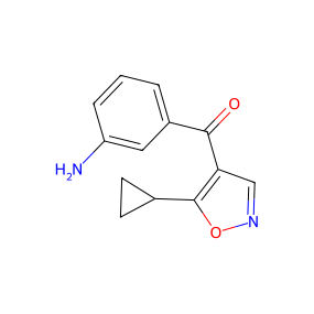 Nc1cccc(C(=O)c2cnoc2C2CC2)c1